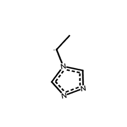 C[CH]n1cnnc1